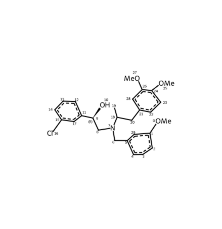 COc1cccc(CN(C[C@H](O)c2cccc(Cl)c2)C(C)Cc2ccc(OC)c(OC)c2)c1